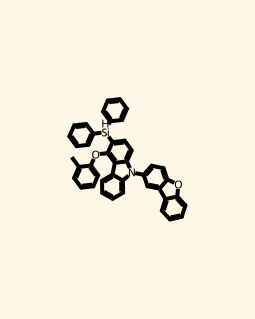 Cc1ccccc1Oc1c([SiH](c2ccccc2)c2ccccc2)ccc2c1c1ccccc1n2-c1ccc2oc3ccccc3c2c1